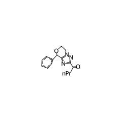 CCCC(=O)c1nc2n(n1)CCOC2c1ccccc1